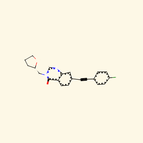 O=c1c2ccc(C#Cc3ccc(F)cc3)cc2ncn1C[C@H]1CCCO1